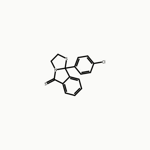 S=C1c2ccccc2C2(c3ccc(Cl)cc3)SCCN12